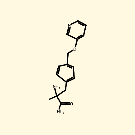 CC(N)(Cc1ccc(COc2cccnc2)cc1)C(N)=O